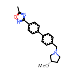 CO[C@H]1CCN(Cc2ccc(-c3ccc(-c4noc(C)n4)cc3)cc2)C1